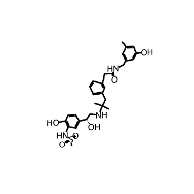 Cc1cc(O)cc(CNC(=O)Cc2cccc(CC(C)(C)NC[C@H](O)c3ccc(O)c(NS(C)(=O)=O)c3)c2)c1